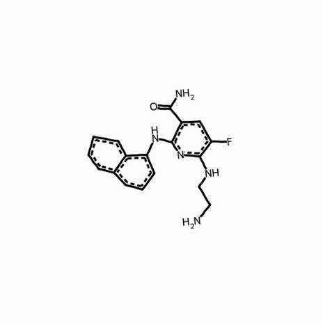 NCCNc1nc(Nc2cccc3ccccc23)c(C(N)=O)cc1F